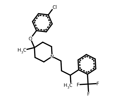 CC(CCN1CCC(C)(Oc2ccc(Cl)cc2)CC1)c1ccccc1C(F)(F)F